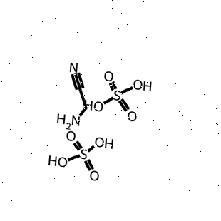 N#CCN.O=S(=O)(O)O.O=S(=O)(O)O